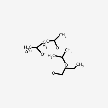 CC(C)[O-].CC(C)[O-].CC(C)[O-].CCCC[O-].[Zr+4]